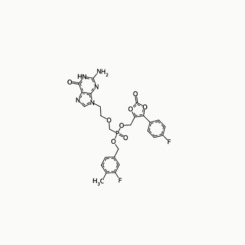 Cc1ccc(COP(=O)(COCCn2cnc3c(=O)[nH]c(N)nc32)OCc2oc(=O)oc2-c2ccc(F)cc2)cc1F